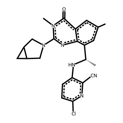 Cc1cc([C@H](C)Nc2ccc(Cl)nc2C#N)c2nc(N3CC4CC4C3)n(C)c(=O)c2c1